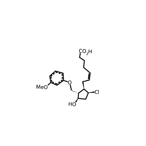 COc1cccc(OC[C@@H]2[C@@H](C/C=C\CCCC(=O)O)[C@@H](Cl)C[C@H]2O)c1